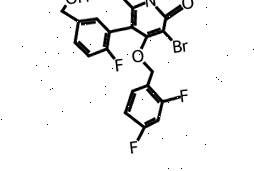 Cc1[nH]c(=O)c(Br)c(OCc2ccc(F)cc2F)c1-c1cc(CO)ccc1F